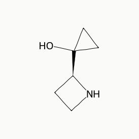 OC1([C@@H]2CCN2)CC1